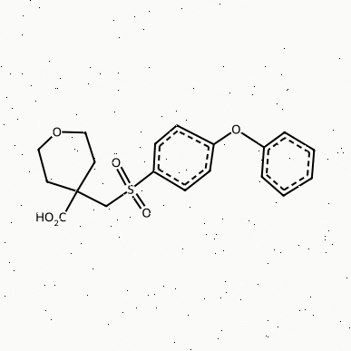 O=C(O)C1(CS(=O)(=O)c2ccc(Oc3ccccc3)cc2)CCOCC1